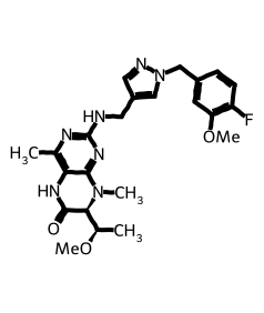 COc1cc(Cn2cc(CNc3nc(C)c4c(n3)N(C)[C@@H]([C@@H](C)OC)C(=O)N4)cn2)ccc1F